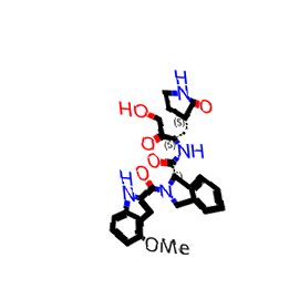 COc1cccc2[nH]c(C(=O)N3Cc4ccccc4[C@H]3C(=O)N[C@@H](C[C@@H]3CCNC3=O)C(=O)CO)cc12